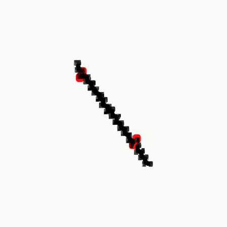 CCCCCCCOC(=O)CCCCCCCCCCCCCCCCCCCCCCC(=O)OCC